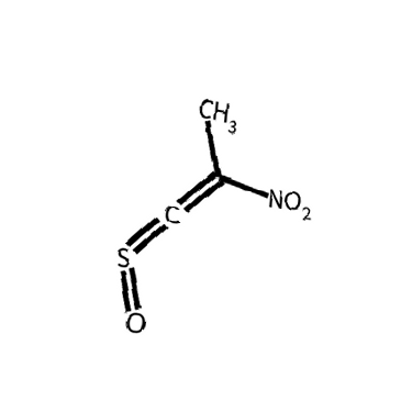 CC(=C=S=O)[N+](=O)[O-]